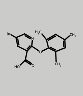 Cc1cc(C)c(Oc2ncc(Br)cc2C(=O)O)c(C)c1